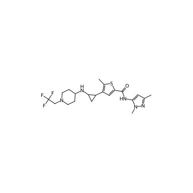 Cc1cc(NC(=O)c2cc(C3CC3NC3CCN(CC(F)(F)F)CC3)c(C)s2)n(C)n1